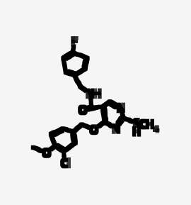 C.COc1ccc(COc2nc(S)ncc2C(=O)NCc2ccc(F)cc2)cc1Cl